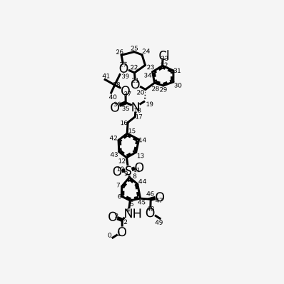 COC(=O)Nc1ccc(S(=O)(=O)c2ccc(CCN(C[C@H](OC3CCCCO3)c3cccc(Cl)c3)C(=O)OC(C)(C)C)cc2)cc1C(=O)OC